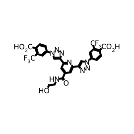 O=C(NCCO)c1cc(-c2cn(-c3ccc(C(=O)O)c(C(F)(F)F)c3)nn2)nc(-c2cn(-c3ccc(C(=O)O)c(C(F)(F)F)c3)nn2)c1